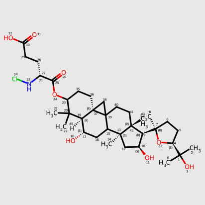 CC(C)(O)[C@@H]1CC[C@](C)([C@H]2[C@@H](O)C[C@@]3(C)C4C[C@H](O)[C@H]5C(C)(C)C(OC(=O)[C@@H](CCC(=O)O)NCl)CC[C@@]56CC46CC[C@]23C)O1